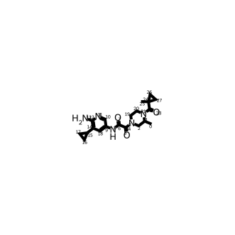 CC1CN(C(=O)C(=O)Nc2cnc(N)c(C3CC3)c2)CCN1C(=O)C1(C)CC1